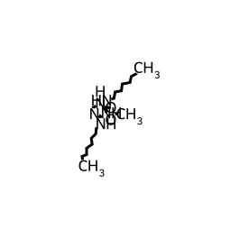 CCCCCCCCNC1=NCNC(NCCCCCCCC)(OC(C)=O)N1